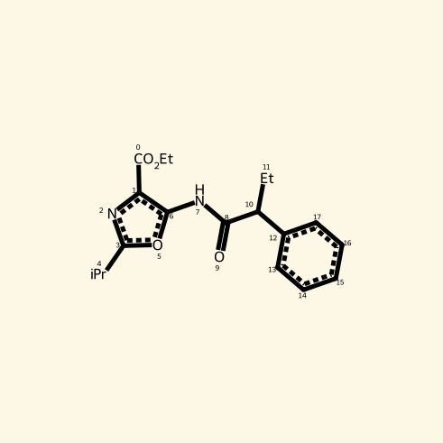 CCOC(=O)c1nc(C(C)C)oc1NC(=O)C(CC)c1ccccc1